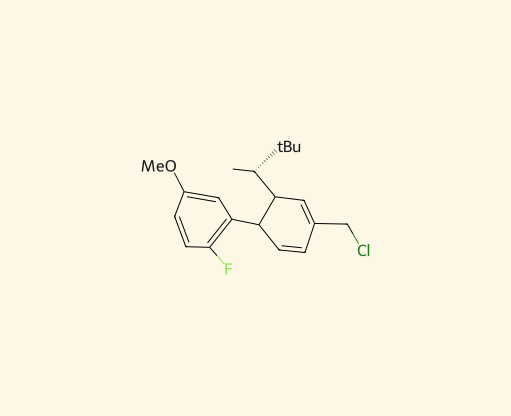 COc1ccc(F)c(C2C=CC(CCl)=CC2[C@H](C)C(C)(C)C)c1